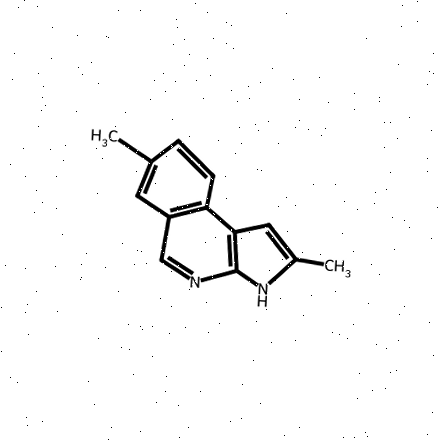 Cc1ccc2c(cnc3[nH]c(C)cc32)c1